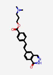 CN(C)CCCOC(=O)c1ccc(C=Cc2ccc3c(=O)[nH]ncc3c2)cc1